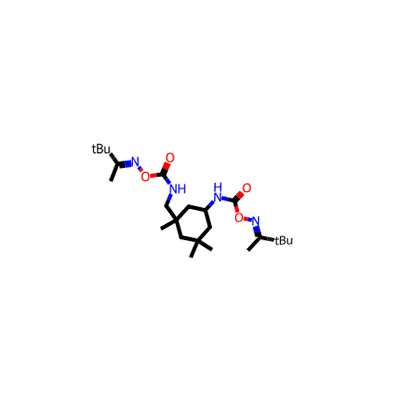 C/C(=N\OC(=O)NCC1(C)CC(NC(=O)O/N=C(\C)C(C)(C)C)CC(C)(C)C1)C(C)(C)C